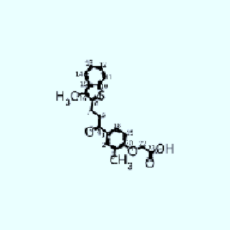 Cc1cc(C(=O)CCc2sc3ccccc3c2C)ccc1OCC(=O)O